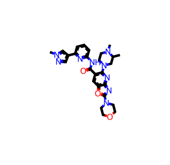 CC1CN(c2nc3nc(N4CCOCC4)oc3cc2C(=O)Nc2cccc(-c3cnn(C)c3)n2)CCN1C